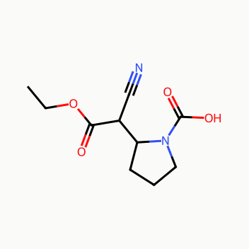 CCOC(=O)C(C#N)C1CCCN1C(=O)O